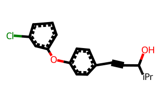 CC(C)C(O)C#Cc1ccc(Oc2cccc(Cl)c2)cc1